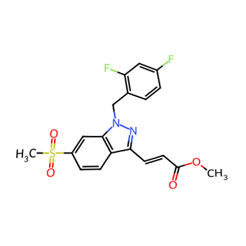 COC(=O)/C=C/c1nn(Cc2ccc(F)cc2F)c2cc(S(C)(=O)=O)ccc12